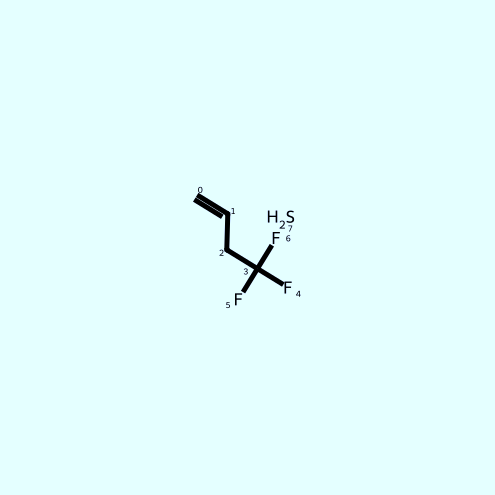 C=CCC(F)(F)F.S